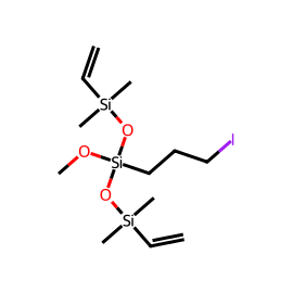 C=C[Si](C)(C)O[Si](CCCI)(OC)O[Si](C)(C)C=C